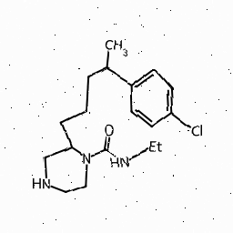 CCNC(=O)N1CCNCC1CCCC(C)c1ccc(Cl)cc1